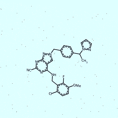 COc1ccc(Cl)c(CNc2nc(C#N)nc3nn(Cc4ccc(C(C)n5cccn5)cc4)cc23)c1F